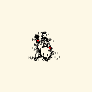 C[C@@H]1NC(=O)[C@@H]2CCCC[C@H](NC(=O)CN)C(=O)N[C@@H](CSSC[C@@H](C(N)=O)NC(=O)[C@H](CCCNC(=N)N)NC(=O)[C@H](Cc3cc4ccccc4[nH]3)NC1=O)C(=O)N[C@@H](CO)C(=O)N[C@@H](CC(=O)O)C(=O)N1CCCC1C(=O)N[C@@H](CCCNC(=N)N)C(=O)N2